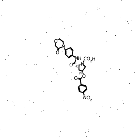 O=C(O[C@H]1C[C@H](C(=O)Nc2ccc(N3CCOCC3=O)cc2)N(C(=O)O)C1)c1ccc([N+](=O)[O-])cc1